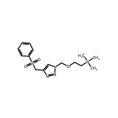 C[Si](C)(C)CCOCn1cc(CS(=O)(=O)c2ccccc2)nn1